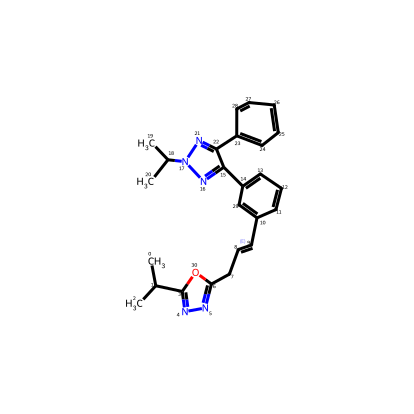 CC(C)c1nnc(C/C=C/c2cccc(-c3nn(C(C)C)nc3-c3ccccc3)c2)o1